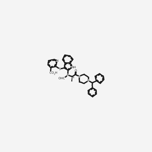 C[C@H](C(=O)N1CCN(C(c2ccccc2)c2ccccc2)CC1)N(C=O)c1[nH]c2ccccc2c1Sc1ncccc1C(=O)O